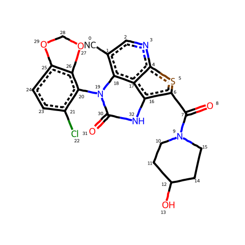 N#Cc1cnc2sc(C(=O)N3CCC(O)CC3)c3c2c1N(c1c(Cl)ccc2c1OCO2)C(=O)N3